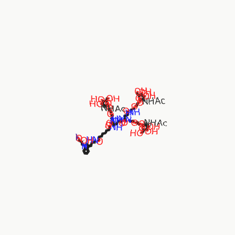 CC(=O)NC1C(OCCOCCNC(=O)CCC(NC(=O)CCC(NC(=O)CCCCCCC(=O)NCCCc2cn(C[C@@H](O)COI)c3ccccc23)C(=O)NCCOCCOC2OC(CO)C(O)C(O)C2NC(C)=O)C(=O)NCCOCCOC2OC(CO)C(O)C(O)C2NC(C)=O)OC(CO)C(O)C1O